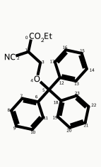 CCOC(=O)C(C#N)COC(c1ccccc1)(c1ccccc1)c1ccccc1